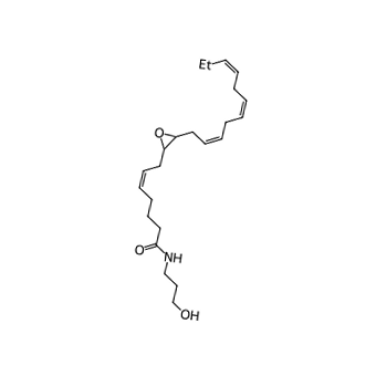 CC/C=C\C/C=C\C/C=C\CC1OC1C/C=C\CCCC(=O)NCCCO